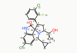 C[C@H](O)C1C[C@H](c2cccc(Cl)c2F)[C@]2(C(=O)Nc3cc(Cl)ccc32)N1CC1CC1